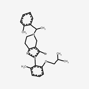 Cc1ccccc1C(C)N1CCc2nn(-c3c(C)cccc3OCC(C)C)c(Br)c2C1